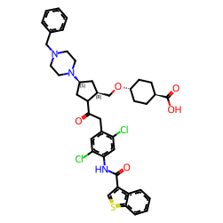 O=C(Nc1cc(Cl)c(CC(=O)C2C[C@@H](N3CCN(Cc4ccccc4)CC3)C[C@H]2CO[C@H]2CC[C@H](C(=O)O)CC2)cc1Cl)c1csc2ccccc12